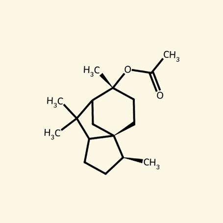 CC(=O)O[C@]1(C)CC[C@]23CC1C(C)(C)C2CC[C@@H]3C